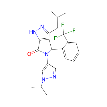 CC(C)Cc1n[nH]c2c1C(c1ccccc1C(F)(F)F)N(c1cnn(C(C)C)c1)C2=O